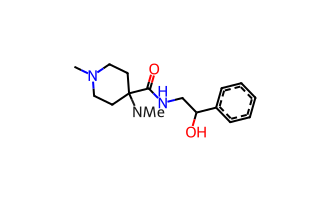 CNC1(C(=O)NCC(O)c2ccccc2)CCN(C)CC1